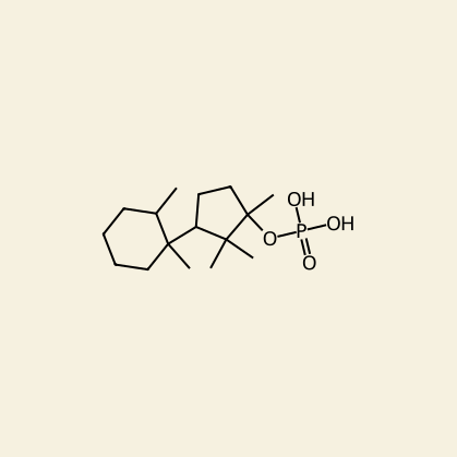 CC1CCCCC1(C)C1CCC(C)(OP(=O)(O)O)C1(C)C